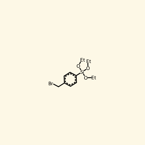 CCO[Si](OCC)(OCC)c1ccc(CBr)cc1